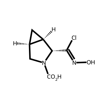 O=C(O)N1C[C@H]2C[C@H]2[C@@H]1C(Cl)=NO